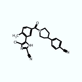 Cc1ccc(C(=O)N2CCC(c3ccc(C#N)cc3)CC2)cc1-c1[nH]c(C#N)nc1Cl